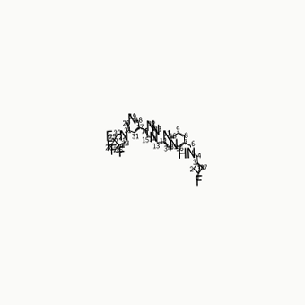 FC12CC(CNCc3ccc4nc(Cn5cc(-c6cncc(N7CC(F)(F)C(F)(F)C7)c6)nn5)cn4c3)(C1)C2